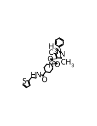 Cc1nn(-c2ccccc2)c(C)c1S(=O)(=O)N1CCC(C(=O)NCCc2cccs2)CC1